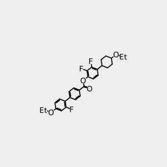 CCOc1ccc(-c2ccc(C(=O)Oc3ccc(C4CCC(OCC)CC4)c(F)c3F)cc2)c(F)c1